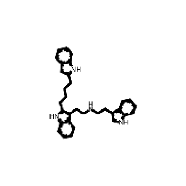 c1ccc2[nH]c(CCCCc3[nH]c4ccccc4c3CCNCCc3c[nH]c4ccccc34)cc2c1